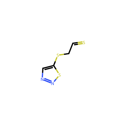 S=CCSc1cnns1